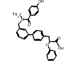 CN(Cc1cccc(-c2ccc(CC(Oc3ccccc3)C(=O)O)cc2)c1)C(=O)c1ccc(O)cc1